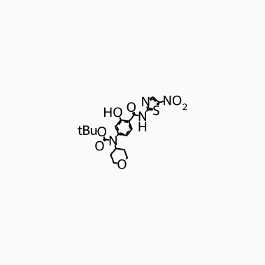 CC(C)(C)OC(=O)N(c1ccc(C(=O)Nc2ncc([N+](=O)[O-])s2)c(O)c1)C1CCOCC1